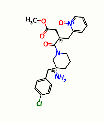 COC(=O)C[C@@H](Cc1cccc[n+]1[O-])C(=O)N1CCC[C@@](N)(Cc2ccc(Cl)cc2)C1